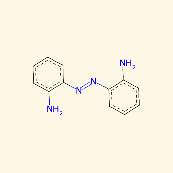 Nc1ccccc1N=Nc1ccccc1N